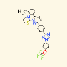 Cc1cccc(C)c1N1CCCS/C1=N\N=C\c1ccc(-c2ncn(-c3ccc(OC(F)(F)F)cc3)n2)cc1